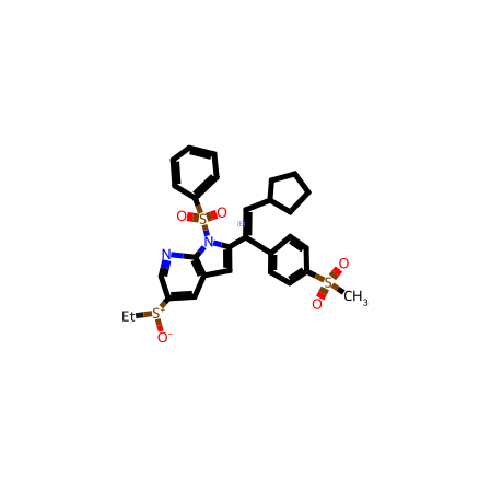 CC[S+]([O-])c1cnc2c(c1)cc(/C(=C/C1CCCC1)c1ccc(S(C)(=O)=O)cc1)n2S(=O)(=O)c1ccccc1